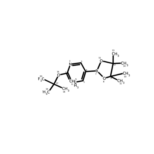 C=C(/N=C\C(=C/C)B1OC(C)(C)C(C)(C)O1)OC(C)(C)C(F)(F)F